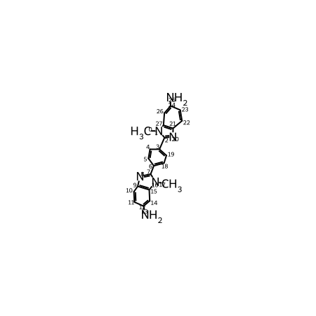 Cn1c(-c2ccc(-c3nc4ccc(N)cc4n3C)cc2)nc2ccc(N)cc21